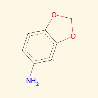 Nc1[c]c2c(cc1)OCO2